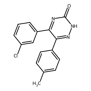 Cc1ccc(-c2n[nH]c(=O)nc2-c2cccc(Cl)c2)cc1